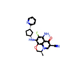 C[C@H]1COc2c(N[C@@H]3CC[C@H](c4ccccn4)C3)c(F)c(N)c3c(=O)c(C#N)cn1c23